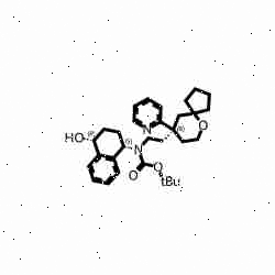 CC(C)(C)OC(=O)N(CC[C@@]1(c2ccccn2)CCOC2(CCCC2)C1)[C@H]1CC[C@@H](O)c2ccccc21